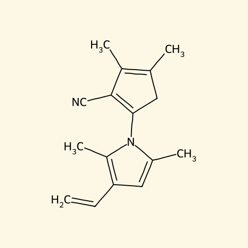 C=Cc1cc(C)n(C2=C(C#N)C(C)=C(C)C2)c1C